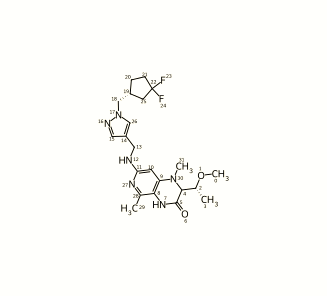 CO[C@H](C)C1C(=O)Nc2c(cc(NCc3cnn(C[C@@H]4CCC(F)(F)C4)c3)nc2C)N1C